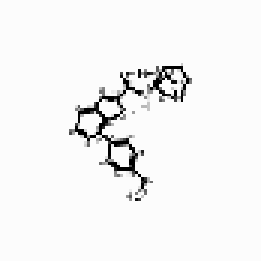 O=C(N[C@H]1CN2CCC1CC2)c1cc2cccc(-c3ccc(CO)cc3)c2s1